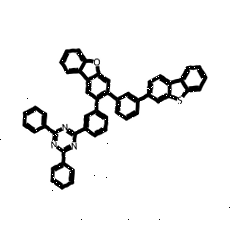 c1ccc(-c2nc(-c3ccccc3)nc(-c3cccc(-c4cc5c(cc4-c4cccc(-c6ccc7c(c6)sc6ccccc67)c4)oc4ccccc45)c3)n2)cc1